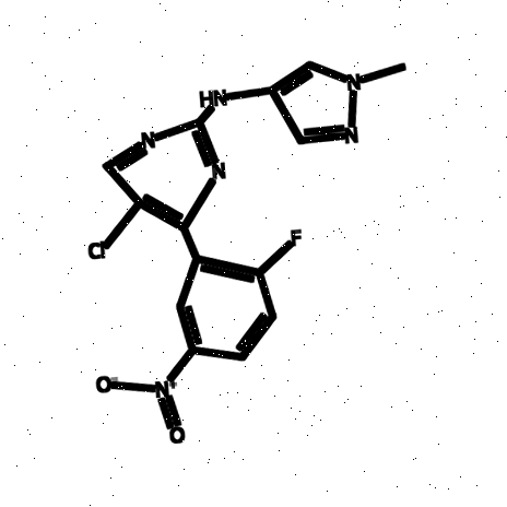 Cn1cc(Nc2ncc(Cl)c(-c3cc([N+](=O)[O-])ccc3F)n2)cn1